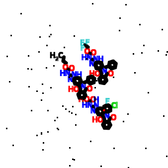 C=CCCOC(=O)Nc1nc2cc(C3(O)c4ccccc4C(=O)N3Cc3ccccc3)ccc2[nH]1.O=C(Nc1nc2cc(C3(O)c4ccccc4C(=O)N3Cc3ccccc3)ccc2[nH]1)OCC(F)(F)F.O=C(O)Nc1nc2cc(C3(O)c4ccccc4C(=O)N3c3ccc(F)c(Cl)c3)ccc2[nH]1